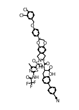 Cc1nc(NC(=O)C(F)(F)F)sc1S(=O)(=O)N1Cc2cc3c(cc2C[C@H]1C(=O)NC(Cc1ccc(-c2ccc(C#N)cc2)cc1)C(=O)O)OC[C@H](c1ccc(OCc2ccc(Cl)c(Cl)c2)cc1)O3